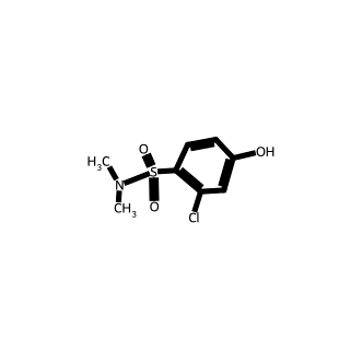 CN(C)S(=O)(=O)c1ccc(O)cc1Cl